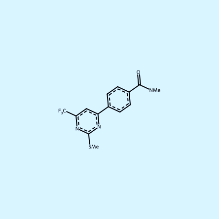 CNC(=O)c1ccc(-c2cc(C(F)(F)F)nc(SC)n2)cc1